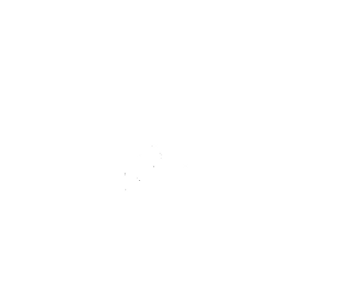 CC[N+]1(CCCC(O)c2cccc(NS(C)(=O)=O)c2)CCCCCC1